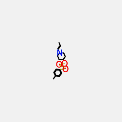 CC=CN1CCC(OS(=O)(=O)c2ccc(C)cc2)CC1